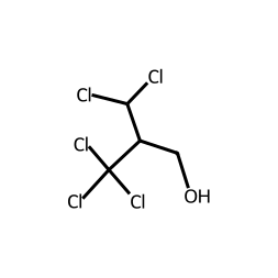 OCC(C(Cl)Cl)C(Cl)(Cl)Cl